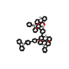 c1ccc(N(c2ccccc2)c2ccc3c(c2)C2(c4ccccc4S3)c3ccccc3-n3c4ccc(-c5cc(-c6ccc(-c7ccc(-n8c9ccccc9c9ccccc98)cc7)cc6)cc6c5Sc5ccccc5C65c6ccccc6-n6c7ccccc7c7cccc5c76)cc4c4cccc2c43)cc1